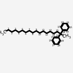 CCCCCCCCCCCCCCCCC(C)(c1ccccc1)c1ccccc1